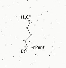 C=CCCCC(CC)CCCCC